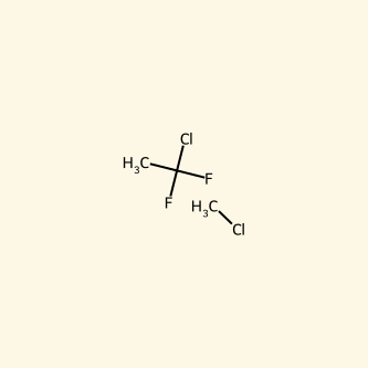 CC(F)(F)Cl.CCl